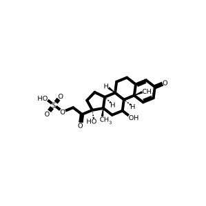 C[C@]12C=CC(=O)C=C1CC[C@@H]1[C@@H]2C(O)C[C@@]2(C)[C@H]1CC[C@]2(O)C(=O)COS(=O)(=O)O